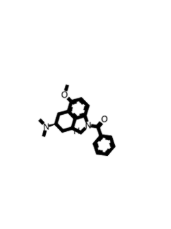 COc1ccc2c3c1C[C@H](N(C)C)C[C@H]3CN2C(=O)c1ccccc1